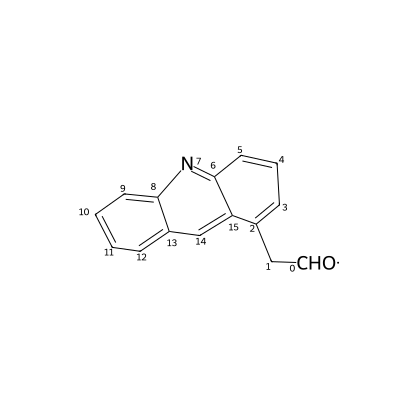 O=[C]Cc1cccc2nc3ccccc3cc12